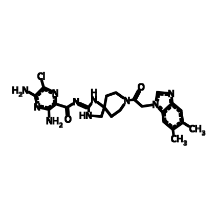 Cc1cc2ncn(CC(=O)N3CCC4(CC3)CN/C(=N\C(=O)c3nc(Cl)c(N)nc3N)N4)c2cc1C